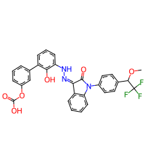 COC(c1ccc(N2C(=O)C(=NNc3cccc(-c4cccc(OC(=O)O)c4)c3O)c3ccccc32)cc1)C(F)(F)F